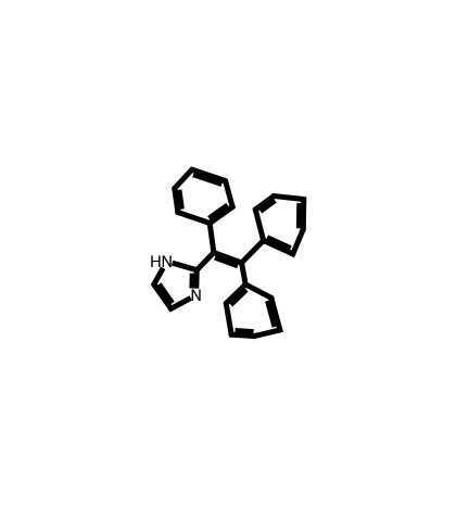 c1ccc(C(=C(c2ccccc2)c2ncc[nH]2)c2ccccc2)cc1